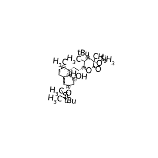 CC1[C@H](C(C)(C)C)C(C)(O[SiH3])C(=O)O[C@@H]1CC[C@@H]1[C@@H]2C(=C[C@@H](O[Si](C)(C)C(C)(C)C)C[C@@H]2O)C=C[C@@H]1C